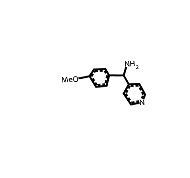 COc1ccc(C(N)c2ccncc2)cc1